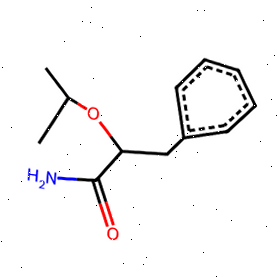 CC(C)OC(Cc1ccccc1)C(N)=O